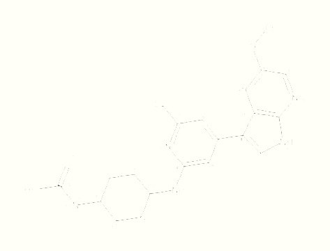 COc1cnc2[nH]cc(-c3cc(Cl)nc(NC4CCC(NC(=O)O)CC4)c3)c2c1